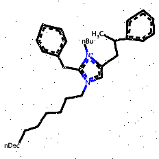 CCCCCCCCCCCCCCCCn1cc(CC(C)c2ccccc2)[n+](CCCC)c1Cc1ccccc1